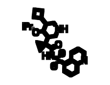 CC(C)OC1C(C2CCC2)CNCC1C1(C(=O)NS(=O)(=O)c2cccc3ncccc23)CC1